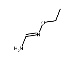 CCON=CN